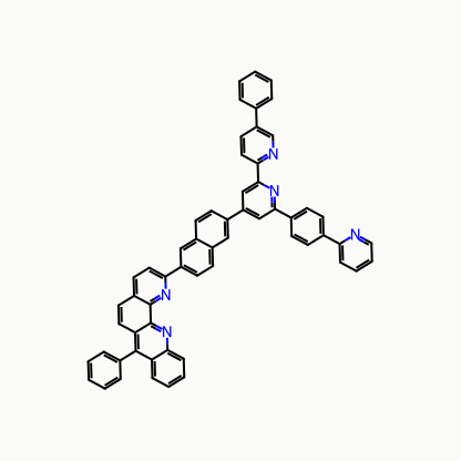 c1ccc(-c2ccc(-c3cc(-c4ccc5cc(-c6ccc7ccc8c(-c9ccccc9)c9ccccc9nc8c7n6)ccc5c4)cc(-c4ccc(-c5ccccn5)cc4)n3)nc2)cc1